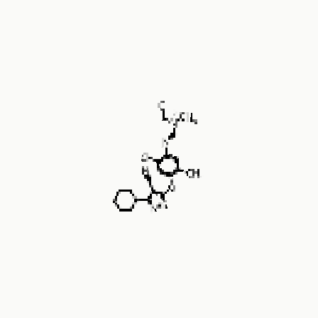 CCN(C)C=Nc1cc(C)c(Oc2snc(C3CCCCC3)c2C#N)cc1Cl